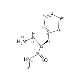 CNC(=O)[C@H](Cc1ccccc1)NN